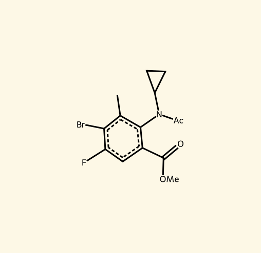 COC(=O)c1cc(F)c(Br)c(C)c1N(C(C)=O)C1CC1